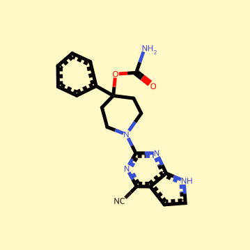 N#Cc1nc(N2CCC(OC(N)=O)(c3ccccc3)CC2)nc2[nH]ccc12